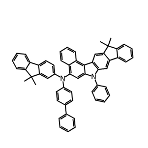 CC1(C)c2ccccc2-c2ccc(N(c3ccc(-c4ccccc4)cc3)c3cc4c(c5ccccc35)c3cc5c(cc3n4-c3ccccc3)-c3ccccc3C5(C)C)cc21